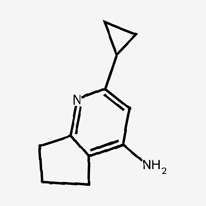 Nc1cc(C2CC2)nc2c1CCC2